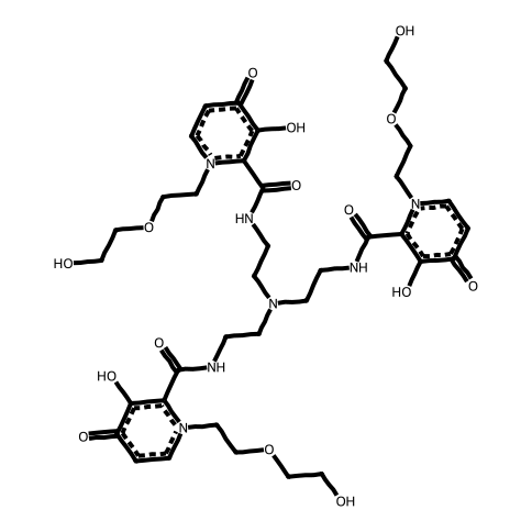 O=C(NCCN(CCNC(=O)c1c(O)c(=O)ccn1CCOCCO)CCNC(=O)c1c(O)c(=O)ccn1CCOCCO)c1c(O)c(=O)ccn1CCOCCO